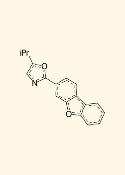 CC(C)c1cnc(-c2ccc3c(c2)oc2ccccc23)o1